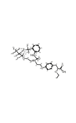 CCOC(Cc1ccc(OCCN(CCOC(F)(F)C(F)(F)C(F)(F)F)C(=O)Nc2ccccc2C(F)(F)F)cc1)C(=O)O